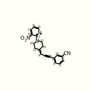 N#Cc1cccc(C#CC=C2CCN(c3ncccc3[N+](=O)[O-])CC2)c1